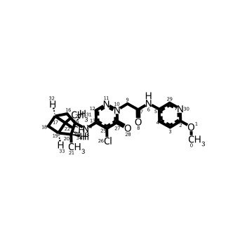 COc1ccc(NC(=O)Cn2ncc(N[C@@H]3C[C@@H]4C[C@H]([C@H]3C)C4(C)C)c(Cl)c2=O)cn1